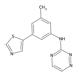 Cc1cc(Nc2nccnn2)cc(-c2cn[c]s2)c1